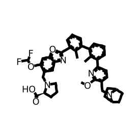 COc1nc(-c2cccc(-c3cccc(-c4nc5cc(CN6CCC[C@H]6C(=O)O)c(OC(F)F)cc5o4)c3C)c2C)ccc1CN1C2CCC1CC2